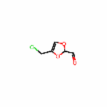 O=CC1OC=C(CCl)O1